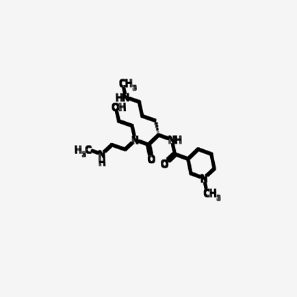 CNCCC[C@H](NC(=O)C1CCCN(C)C1)C(=O)N(CCO)CCNC